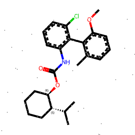 COc1cccc(C)c1-c1c(Cl)cccc1NC(=O)O[C@@H]1CCCC[C@H]1C(C)C